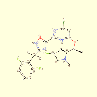 C[C@H](Oc1cc(Cl)nc(-c2nc(C(C)(C)c3c(F)cccc3F)no2)n1)[C@@H]1C[C@H](F)CN1C